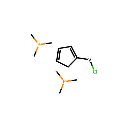 CP(C)C.CP(C)C.[Cl][V][C]1=CC=CC1